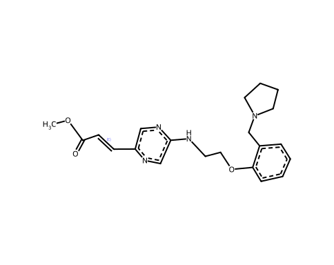 COC(=O)/C=C/c1cnc(NCCOc2ccccc2CN2CCCC2)cn1